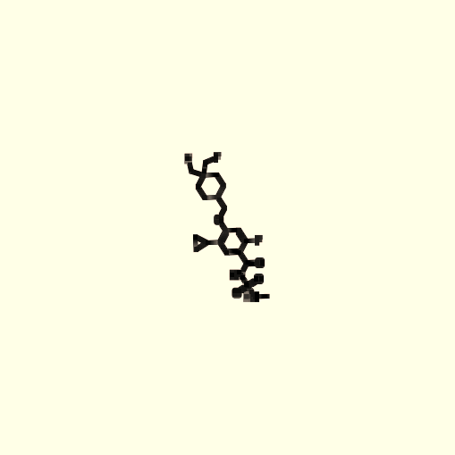 CNS(=O)(=O)NC(=O)c1cc(C2CC2)c(OCC2CCC(CF)(CF)CC2)cc1F